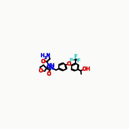 CC(O)c1ccc(Oc2ccc(CNC(=O)C3(NC(=O)CN)CCOC3)cc2)c(C(F)(F)F)c1